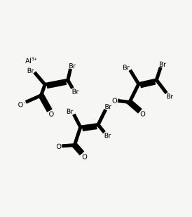 O=C([O-])C(Br)=C(Br)Br.O=C([O-])C(Br)=C(Br)Br.O=C([O-])C(Br)=C(Br)Br.[Al+3]